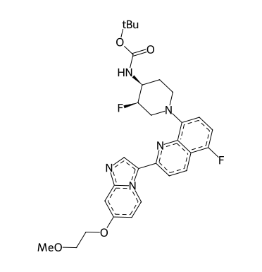 COCCOc1ccn2c(-c3ccc4c(F)ccc(N5CC[C@H](NC(=O)OC(C)(C)C)[C@H](F)C5)c4n3)cnc2c1